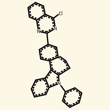 Clc1nc(-c2ccc3c(ccc4c3c3ccccc3n4-c3ccccc3)c2)nc2ccccc12